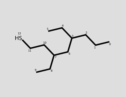 CCCC(CC)CC(CC)CCS